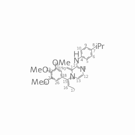 C=C1C(Nc2ccc(C(C)C)cc2)=NC=CN1/C(=C\C)c1cc(OC)c(OC)c(OC)c1